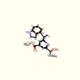 CNC(O)c1cc(C(=O)OC(C)(C)C)cc(C(C)c2cccc3c2CCN3)n1